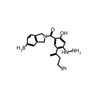 Bc1ccc2c(c1)CN(C(=O)c1cc(C(=C)CCC(C)C)c(NN)cc1O)C2